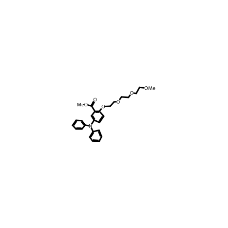 COCCOCCOCCOc1ccc(N(c2ccccc2)c2ccccc2)cc1C(=O)OC